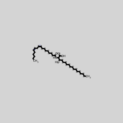 CCCCC/C=C\C/C=C\CCCCCCCC(=O)NC(C(=O)O)C(O)CCCCCCCCCCCCCCC